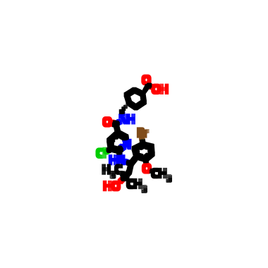 COc1ccc(Br)cc1C(CC(C)(C)O)Nc1ncc(C(=O)NC[C@H]2CC[C@H](C(=O)O)CC2)cc1Cl